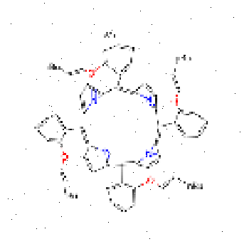 CCCCC=COc1ccccc1-c1c2nc(c(-c3ccccc3OC=CCCCC)c3ccc([nH]3)c(-c3ccccc3OC=CCCCC)c3nc(c(-c4ccccc4OC=CCCCC)c4ccc1[nH]4)C=C3)C=C2.[Mg]